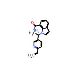 C=Cc1ccc(C(C)n2ccc3cccc(C(N)=O)c32)cn1